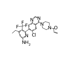 C=CC(=O)N1CCN(c2ncnc3cc(-c4nc(N)cc(CC)c4C(F)(F)F)c(Cl)cc23)CC1